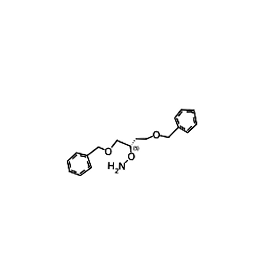 NO[C@@H](CCOCc1ccccc1)COCc1ccccc1